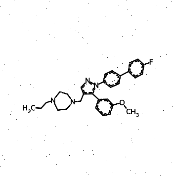 CCCN1CCN(Cc2cnn(-c3ccc(-c4ccc(F)cc4)cc3)c2-c2cccc(OC)c2)CC1